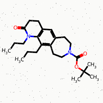 CCCc1c2c(cc3c1N(CCC)C(=O)CC3)CCN(C(=O)OC(C)(C)C)CC2